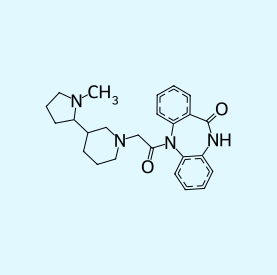 CN1CCCC1C1CCCN(CC(=O)N2c3ccccc3NC(=O)c3ccccc32)C1